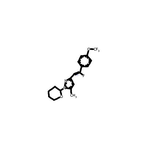 Cc1cc(/C=C(\F)c2ccc(OC(F)(F)F)cc2)nn1C1CCCCO1